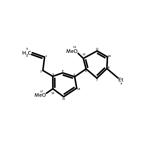 C=CCc1cc(-c2cc(CC)ccc2OC)ccc1OC